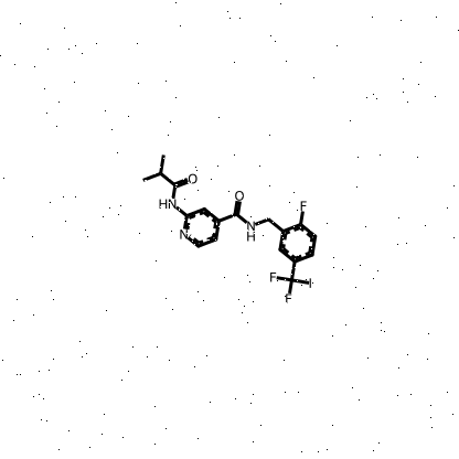 CC(C)C(=O)Nc1cc(C(=O)NCc2cc(C(F)(F)I)ccc2F)ccn1